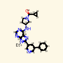 CCn1c(-c2cncc(-c3ccccc3)c2)nc2c(N[C@H]3CCN(C(=O)C4CC4)C3)ncnc21